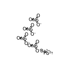 [Ba+2].[O]=[Nb](=[O])[O-].[O]=[Nb](=[O])[O-].[O]=[Nb](=[O])[O-].[O]=[Nb](=[O])[O-].[Pb+2]